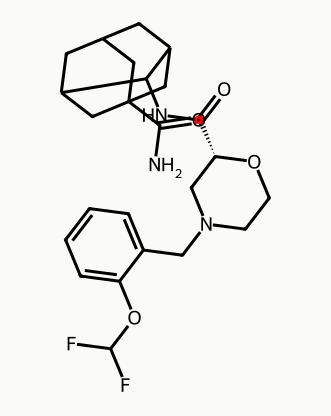 NC(=O)C12CC3CC(C1)C(NC(=O)[C@H]1CN(Cc4ccccc4OC(F)F)CCO1)C(C3)C2